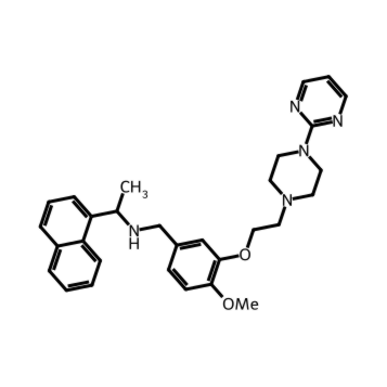 COc1ccc(CNC(C)c2cccc3ccccc23)cc1OCCN1CCN(c2ncccn2)CC1